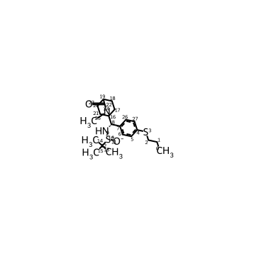 CCCSc1ccc([C@H](N[S+]([O-])C(C)(C)C)C23CCC(CC2)C(=O)N3C)cc1